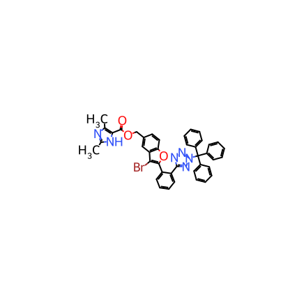 Cc1nc(C)c(C(=O)OCc2ccc3oc(-c4ccccc4-c4nnn(C(c5ccccc5)(c5ccccc5)c5ccccc5)n4)c(Br)c3c2)[nH]1